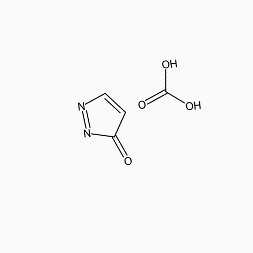 O=C(O)O.O=C1C=CN=N1